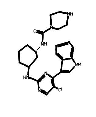 O=C(N[C@H]1CCCC(Nc2ncc(Cl)c(-c3c[nH]c4ccccc34)n2)C1)N1CCNCC1